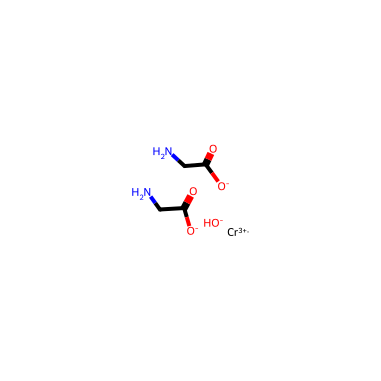 NCC(=O)[O-].NCC(=O)[O-].[Cr+3].[OH-]